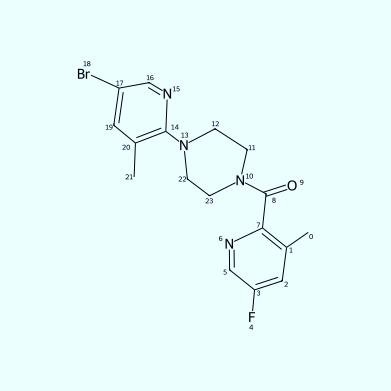 Cc1cc(F)cnc1C(=O)N1CCN(c2ncc(Br)cc2C)CC1